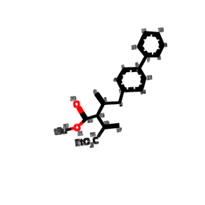 C=C(Cc1ccc(-c2ccccc2)cc1)C(C(=C)C(=O)OCC)C(=O)OC(C)(C)C